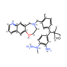 Cc1ccc(C(c2ccc(N(C)N)c(N)c2)C(C)(C)C=O)cc1CN1CCOc2cc3cccnc3cc2C1